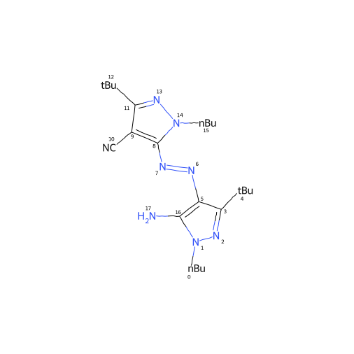 CCCCn1nc(C(C)(C)C)c(N=Nc2c(C#N)c(C(C)(C)C)nn2CCCC)c1N